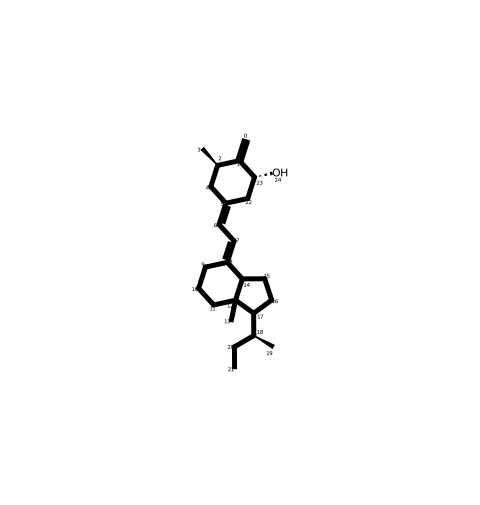 C=C1[C@H](C)C/C(=C/C=C2\CCCC3(C)C2CCC3[C@@H](C)CC)C[C@H]1O